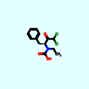 CCN(C(=O)O)[C@H](Cc1ccccc1)C(=O)C(Cl)Cl